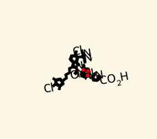 Cc1cc(CCCCc2c(C(=O)N3CCN(c4ccc(C(=O)O)nc4)CC3)n(Cc3cccnc3)c3c(-c4c(C)nn(C)c4C)c(Cl)ccc23)cc(C)c1Cl